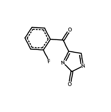 O=C1N=CC(C(=O)c2ccccc2F)=N1